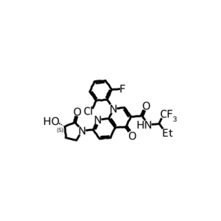 CCC(NC(=O)c1cn(-c2c(F)cccc2Cl)c2nc(N3CC[C@H](O)C3=O)ccc2c1=O)C(F)(F)F